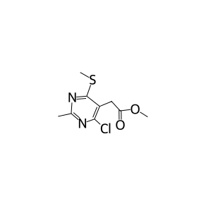 COC(=O)Cc1c(Cl)nc(C)nc1SC